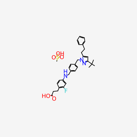 CC(C)(C)c1cc(CCc2ccccc2)n(Cc2ccc(CNc3ccc(CCC(=O)O)c(F)c3)cc2)n1.CS(=O)(=O)O